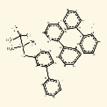 CC(C)(C)[Si](C)(C)Oc1cccc(-c2ccccn2)c1.[Ir].c1ccc(-c2ccccn2)cc1.c1ccc(-c2ccccn2)cc1